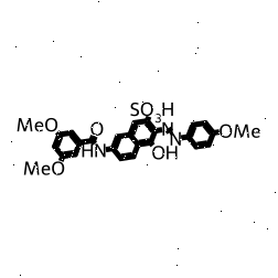 COc1ccc(N=Nc2c(S(=O)(=O)O)cc3cc(NC(=O)c4cc(OC)cc(OC)c4)ccc3c2O)cc1